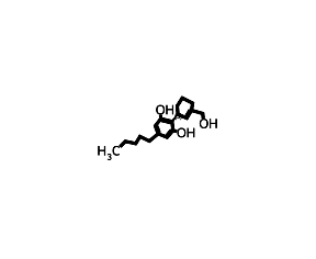 CCCCCc1cc(O)c([C@@H]2C=C(CO)CCC2)c(O)c1